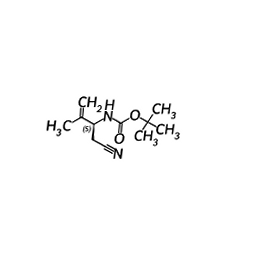 C=C(C)[C@H](CC#N)NC(=O)OC(C)(C)C